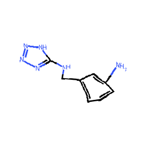 Nc1cccc(CNc2nnn[nH]2)c1